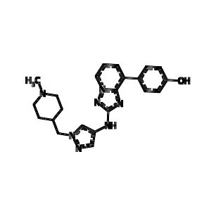 CN1CCC(Cn2cc(Nc3nc4c(-c5ccc(O)cc5)cccn4n3)cn2)CC1